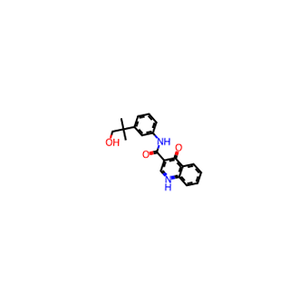 CC(C)(CO)c1cccc(NC(=O)c2c[nH]c3ccccc3c2=O)c1